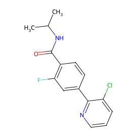 CC(C)NC(=O)c1ccc(-c2ncccc2Cl)cc1F